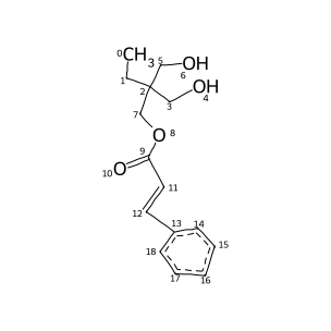 CCC(CO)(CO)COC(=O)C=Cc1ccccc1